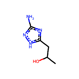 CC(O)Cc1nc(N)n[nH]1